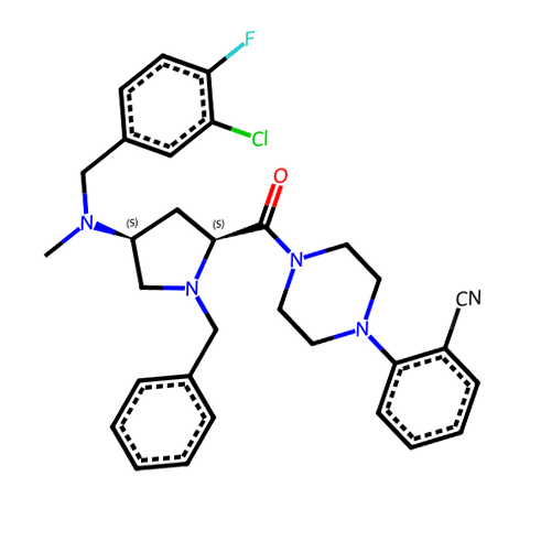 CN(Cc1ccc(F)c(Cl)c1)[C@H]1C[C@@H](C(=O)N2CCN(c3ccccc3C#N)CC2)N(Cc2ccccc2)C1